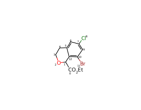 CCOC(=O)C1OCCc2cc(Cl)cc(Br)c21